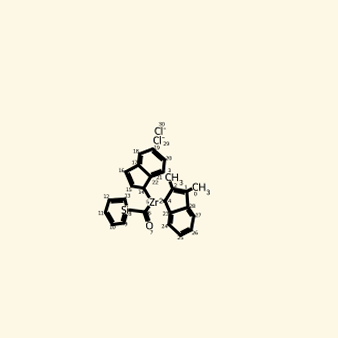 CC1=C(C)[CH]([Zr+2]([C](=O)[si]2ccccc2)[CH]2C=Cc3ccccc32)c2ccccc21.[Cl-].[Cl-]